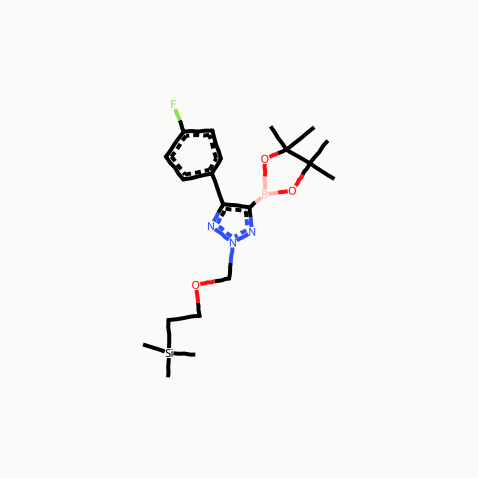 CC1(C)OB(c2nn(COCC[Si](C)(C)C)nc2-c2ccc(F)cc2)OC1(C)C